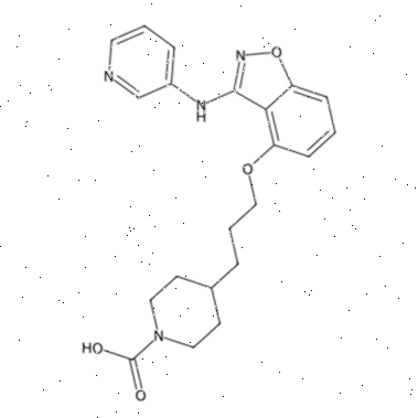 O=C(O)N1CCC(CCCOc2cccc3onc(Nc4cccnc4)c23)CC1